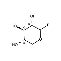 O[C@H]1[C@H](O)C(F)OC[C@@H]1O